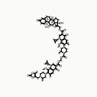 COc1c(N2CCN(Cc3oc(=O)oc3C)C(C)C2)c(F)cc2c(=O)c(C(=O)OCOC(=O)N3CCN(c4c(F)cc5c(=O)c(C(=O)OCC(=O)[C@]6(O)CC[C@@H]7[C@H]8CCC9=CC(=O)C=C[C@@]9(C)[C@@H]8[C@H](O)C[C@]76C)cn(C6CC6)c5c4OC)CC3C)cn(C3CC3)c12